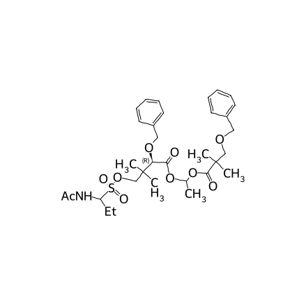 CCC(NC(C)=O)S(=O)(=O)OCC(C)(C)[C@@H](OCc1ccccc1)C(=O)OC(C)OC(=O)C(C)(C)COCc1ccccc1